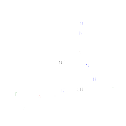 N#Cc1c(SCc2cccnn2)nc(N2CC(F)C2)c(C#N)c1-c1ccc(OCC(F)F)cn1